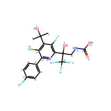 CC(C)(O)c1c(F)c(C(O)(CNC(=O)O)C(F)(F)F)nc(-c2ccc(F)cc2)c1Cl